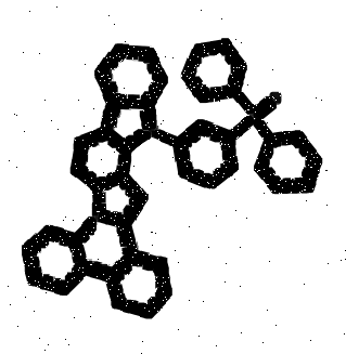 O=P(c1ccccc1)(c1ccccc1)c1cccc(-n2c3ccccc3c3ccc4c(cc5c6ccccc6c6ccccc6n54)c32)c1